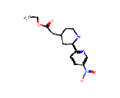 CCOC(=O)CC1CCNC(c2ccc([N+](=O)[O-])cn2)C1